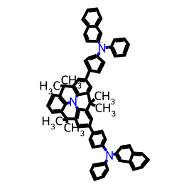 CC1(C)c2cccc3c2N2c4c1cc(-c1ccc(N(c5ccccc5)c5ccc6ccccc6c5)cc1)cc4C(C)(C)c1cc(-c4ccc(N(c5ccccc5)c5ccc6ccccc6c5)cc4)cc(c12)C3(C)C